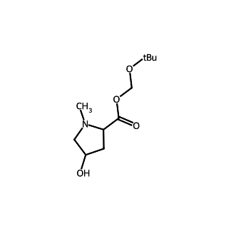 CN1CC(O)CC1C(=O)OCOC(C)(C)C